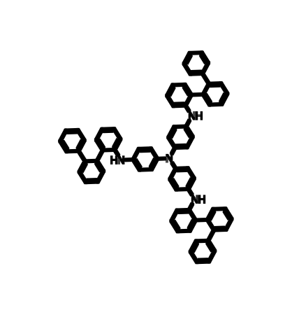 c1ccc(-c2ccccc2-c2ccccc2Nc2ccc(N(c3ccc(Nc4ccccc4-c4ccccc4-c4ccccc4)cc3)c3ccc(Nc4ccccc4-c4ccccc4-c4ccccc4)cc3)cc2)cc1